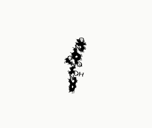 CC1(C)CN(CC[C@H](O)CN2CCc3ccccc3C2)C(=O)c2ccc(CN3CCC4(COC4)C3)cc2O1